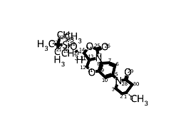 C[C@@H]1CCN(c2ccc3c(c2)OC[C@H]2[C@H](CO[Si](C)(C)C(C)(C)C)OC(=O)N32)C(=O)C1